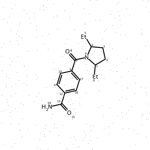 CCC1CCC(CC)N1C(=O)c1ccc(C(N)=O)cc1